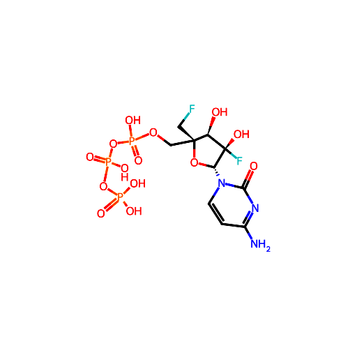 Nc1ccn([C@@H]2O[C@](CF)(COP(=O)(O)OP(=O)(O)OP(=O)(O)O)[C@@H](O)[C@]2(O)F)c(=O)n1